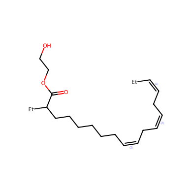 CC/C=C\C/C=C\C/C=C\CCCCCCC(CC)C(=O)OCCO